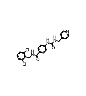 O=C(NCc1ccncc1)Nc1ccc(C(=O)NCc2c(Cl)cccc2Cl)cc1